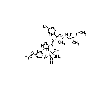 BC1(O)C(n2c(NS[C@@H](C)C(OSCCC(C)(C)CCC)c3ncc(Cl)cn3)nnc2-c2cccc(OC)n2)C1(B)O